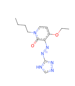 CCCCn1ccc(OCC)c(/N=N/c2nnc[nH]2)c1=O